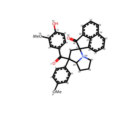 COc1ccc(C2(C(=O)c3ccc(O)c(OC)c3)CC3(C(=O)c4cccc5cccc3c45)N3CCCC32)cc1